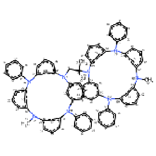 CCC(C)C(C)(CN1c2cccc(c2)N(c2ccccc2)c2cccc(c2)N(C)c2cccc(c2)N(c2ccccc2)c2cccc1c2)N1c2cccc(c2)N(c2ccccc2)c2cccc(c2)N(C)c2cccc(c2)N(c2ccccc2)c2cccc1c2